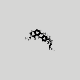 CCCS(=O)(=O)Nc1ccc(F)c(Nc2ccc3ncn(C)c(=O)c3c2)c1F